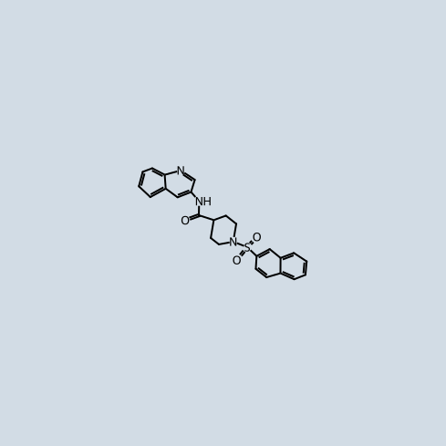 O=C(Nc1cnc2ccccc2c1)C1CCN(S(=O)(=O)c2ccc3ccccc3c2)CC1